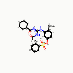 COC(=O)N/C(=N\C(=O)C1CCCCC1)Nc1cc(OS(=O)(=O)c2ccccc2)ccc1NC(C)=O